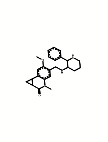 COc1cc2c(cc1CNC1CCCNC1c1ccccc1)N(C)C(=O)C1CC21